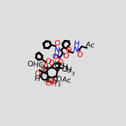 CC(=O)CCC(=O)NCC(=O)O[C@@H](C(=O)O[C@H]1C[C@@]2(O)[C@@H](OC(=O)c3ccccc3)[C@@H]3[C@]4(OC=O)CO[C@@H]4C[C@H](O)[C@@]3(C)C(=O)[C@H](OC(C)=O)C(=C1C)C2(C)C)[C@@H](NC(=O)c1ccccc1)c1ccccc1